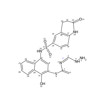 C=C(/N=C\NN)Sc1cc(NS(=O)(=O)c2ccc3c(c2)CCC(=O)N3)c2ccccc2c1O